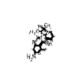 CC(Oc1ncccc1Nc1ncnc2cc(N)cc(F)c12)C(C)(F)F